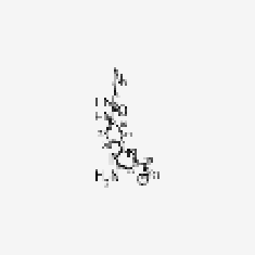 CN(C)CCNC(=O)Nc1ccc(-c2nc(N)cc(C[S+](C)[O-])n2)cc1